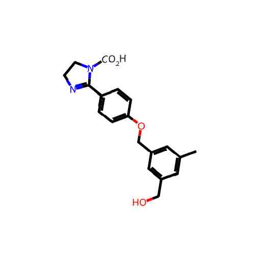 Cc1cc(CO)cc(COc2ccc(C3=NCCN3C(=O)O)cc2)c1